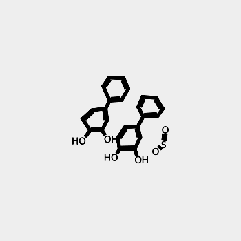 O=S=O.Oc1ccc(-c2ccccc2)cc1O.Oc1ccc(-c2ccccc2)cc1O